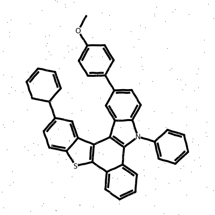 COc1ccc(-c2ccc3c(c2)c2c4c5cc(C6C=CC=CC6)ccc5sc4c4ccccc4c2n3-c2ccccc2)cc1